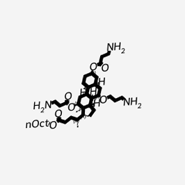 CCCCCCCCOC(=O)CC[C@@H](C)[C@H]1CC[C@H]2[C@@H]3[C@H](OCCCN)C[C@@H]4C[C@H](OC(=O)CCN)CC[C@]4(C)[C@H]3C[C@H](OC(=O)CCN)[C@]12C